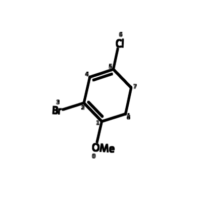 COC1=C(Br)C=C(Cl)C[CH]1